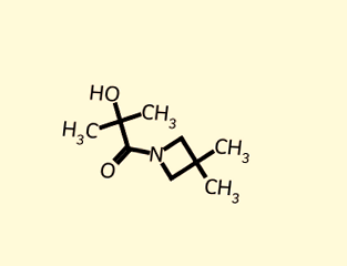 CC1(C)CN(C(=O)C(C)(C)O)C1